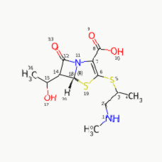 CNCC(C)SC1=C(C(=O)O)N2C(=O)C(C(C)O)[C@H]2S1